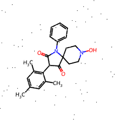 Cc1cc(C)c(C2C(=O)N(c3ccccc3)C3(CCN(O)CC3)C2=O)c(C)c1